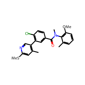 COc1cccc(C)c1N(C)C(=O)c1ccc(Cl)c(-c2cnc(SC)cc2C)c1